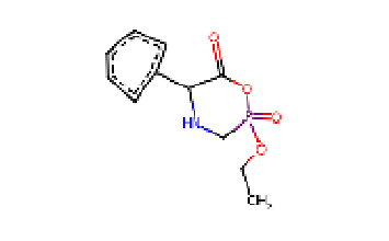 CCOP1(=O)CNC(c2ccccc2)C(=O)O1